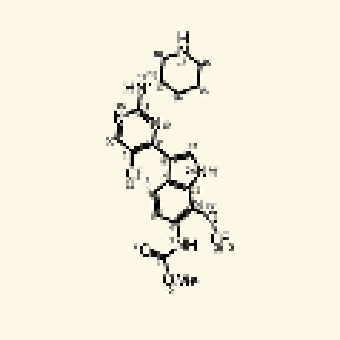 COC(=O)Nc1ccc2c(-c3nc(N[C@H]4CCCNC4)ncc3C(F)(F)F)c[nH]c2c1OC(F)(F)F